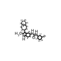 Cc1[nH]c2ccc(NC(=O)Nc3cccc(I)c3)cc2c1C1CCC2CCCCN2CC1